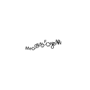 COC[C@@H]1CC(c2ccc(-c3ccc(N4C[C@H](Cn5ccnn5)OC4=O)cc3F)cn2)=NO1